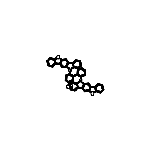 N#Cc1ccc(-n2c3ccccc3c3cc4oc5ccccc5c4cc32)c(-c2ccccc2-n2c3ccccc3c3cc4oc5ccccc5c4cc32)c1